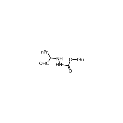 CCCC(C=O)NNC(=O)OC(C)(C)C